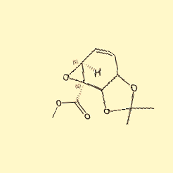 COC(=O)[C@]12O[C@H]1C=CC1OC(C)(C)OC12